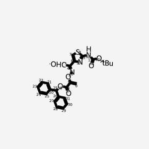 C=C(O/N=C(\[C]=O)c1csc(NC(=O)OC(C)(C)C)n1)C(=O)OC(c1ccccc1)c1ccccc1